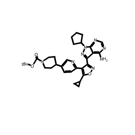 CC(C)(C)OC(=O)N1CCC(c2ccc(-c3c(-c4nn(C5CCCC5)c5ncnc(N)c45)noc3C3CC3)nc2)CC1